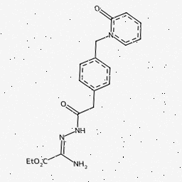 CCOC(=O)C(N)=NNC(=O)Cc1ccc(Cn2ccccc2=O)cc1